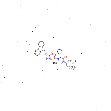 CC[C@H](C)[C@H](NC(=O)OCC1c2ccccc2-c2ccccc21)C(=O)N(C)C(C(=O)N(C)[C@@H](CC(=O)O)C(=O)O)C1CCCC1